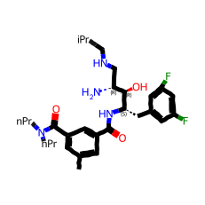 CCCN(CCC)C(=O)c1cc(C)cc(C(=O)N[C@@H](Cc2cc(F)cc(F)c2)[C@H](O)[C@H](N)CNCC(C)C)c1